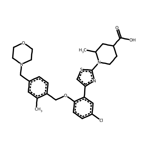 Cc1cc(CN2CCOCC2)ccc1COc1ccc(Cl)cc1-c1csc(N2CCC(C(=O)O)CC2C)n1